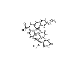 COc1ccc(CN(CCC(=O)O)C(=O)c2ccccc2-c2ccccc2C(=O)N(C)c2ccccn2)cc1